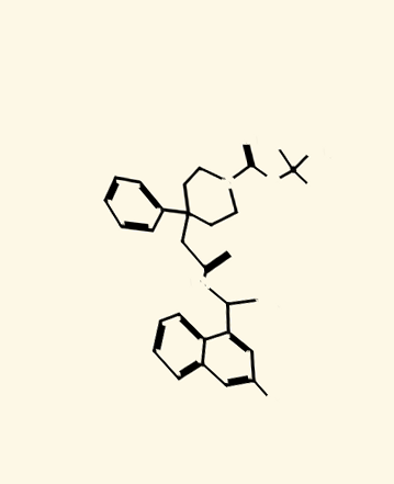 CC(NC(=O)CC1(c2ccccc2)CCN(C(=O)OC(C)(C)C)CC1)c1cc(Cl)cc2ccccc12